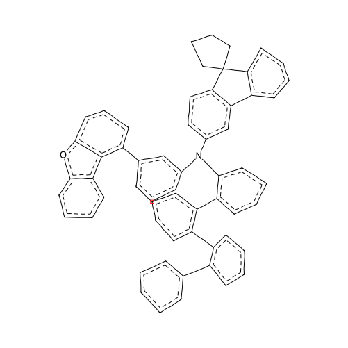 c1ccc(-c2ccccc2-c2ccccc2-c2ccccc2N(c2cccc(-c3cccc4oc5ccccc5c34)c2)c2ccc3c(c2)-c2ccccc2C32CCCC2)cc1